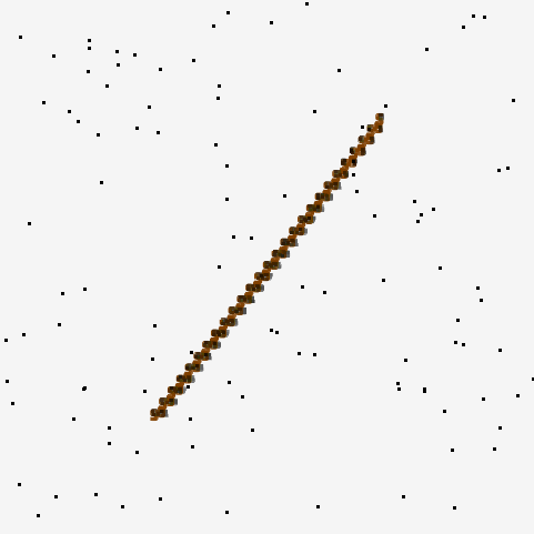 S=S=S=S=S=S=S=S=S=S=S=S=S=S=S=S=S=S=S=S=S=S=S=S=S=S=S=S=S=S=S=S=S=S=S=S=S=S=S=S=S=S=S=S=S=S=S=S=S=S=S=S=S